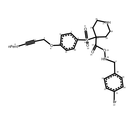 CCCCCC#CCOc1ccc(S(=O)(=O)C2(C(=O)ONCc3ccc(Br)cc3)CCNCC2)cc1